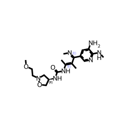 C/N=C(\C(C)=C(/C)NC(=O)N[C@H]1CON(CCOC)C1)c1cnc(NC)c(N)c1